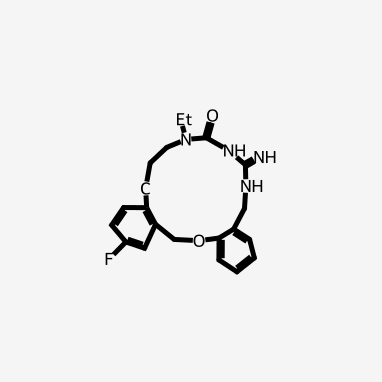 CCN1CCCc2ccc(F)cc2COc2ccccc2CNC(=N)NC1=O